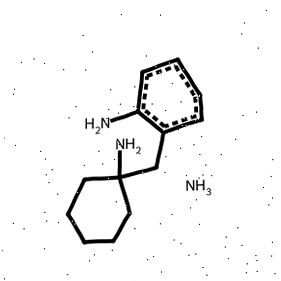 N.Nc1ccccc1CC1(N)CCCCC1